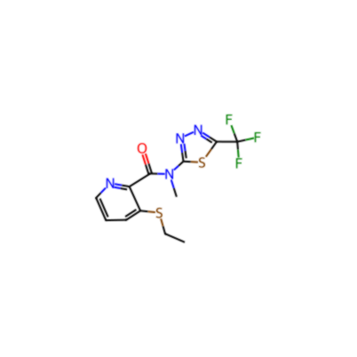 CCSc1cccnc1C(=O)N(C)c1nnc(C(F)(F)F)s1